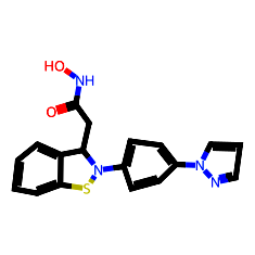 O=C(CC1c2ccccc2SN1c1ccc(-n2cccn2)cc1)NO